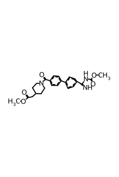 COC(=O)CC1CCN(C(=O)c2ccc(-c3ccc(C(=N)NC(=O)OC)cc3)cc2)CC1